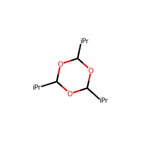 CC(C)C1OC(C(C)C)OC(C(C)C)O1